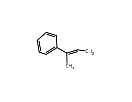 [CH2]C=C(C)c1ccccc1